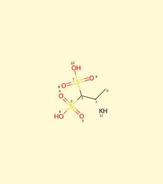 CCC(S(=O)(=O)O)S(=O)(=O)O.[KH]